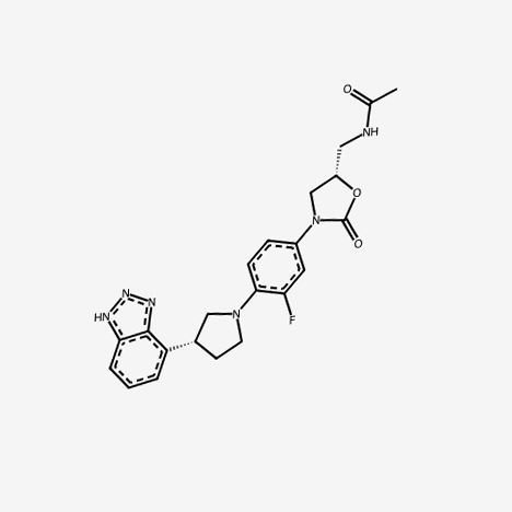 CC(=O)NC[C@H]1CN(c2ccc(N3CC[C@H](c4cccc5[nH]nnc45)C3)c(F)c2)C(=O)O1